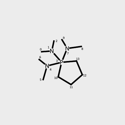 CN(C)P1(N(C)C)(N(C)C)CCCC1